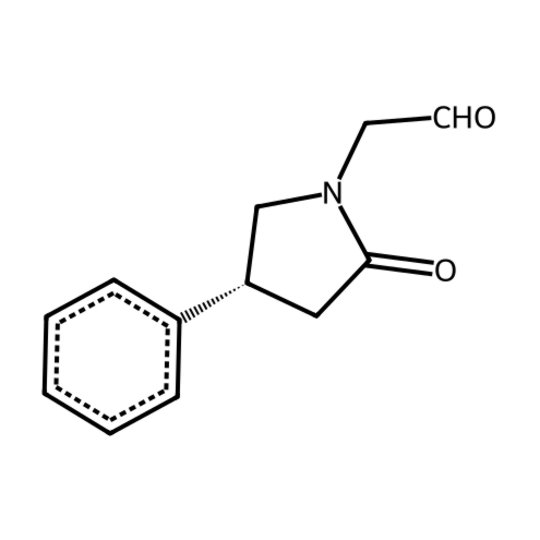 O=CCN1C[C@@H](c2ccccc2)CC1=O